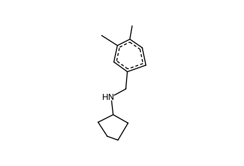 Cc1ccc(CNC2CCCC2)cc1C